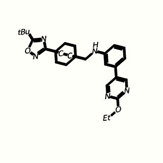 CCOc1ncc(-c2cccc(NCC34CCC(c5noc(C(C)(C)C)n5)(CC3)CC4)c2)cn1